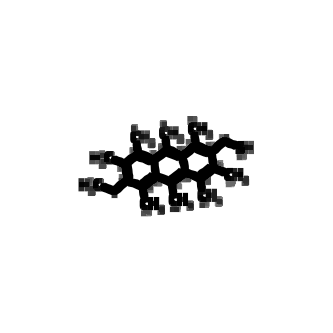 CCc1c(C)c(C)c2c(C)c3c(C)c(CS)c(C)c(C)c3c(C)c2c1C